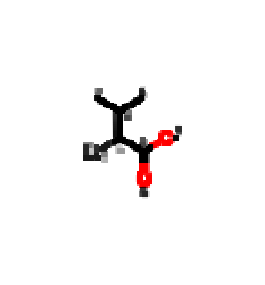 CCC(C([O])=O)=C(C)C